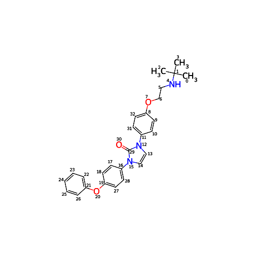 CC(C)(C)NCCOc1ccc(-n2ccn(-c3ccc(Oc4ccccc4)cc3)c2=O)cc1